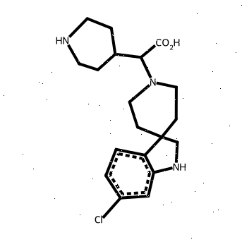 O=C(O)C(C1CCNCC1)N1CCC2(CC1)CNc1cc(Cl)ccc12